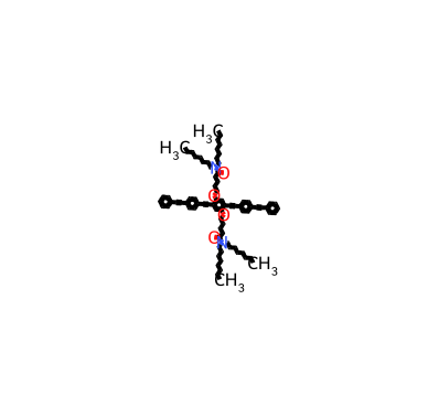 CCCCCCCCN(CCCCCCCC)C(=O)CCCCOc1cc(C#Cc2ccc(C#Cc3ccccc3)cc2)c(OCCCCC(=O)N(CCCCCCCC)CCCCCCCC)cc1C#Cc1ccc(C#Cc2ccccc2)cc1